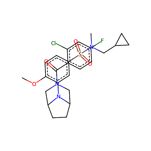 COc1ccc(S(=O)(=O)N(C)CC2CC2)cc1N1C2CCC1CN(C(=O)c1ccc(F)cc1Cl)C2